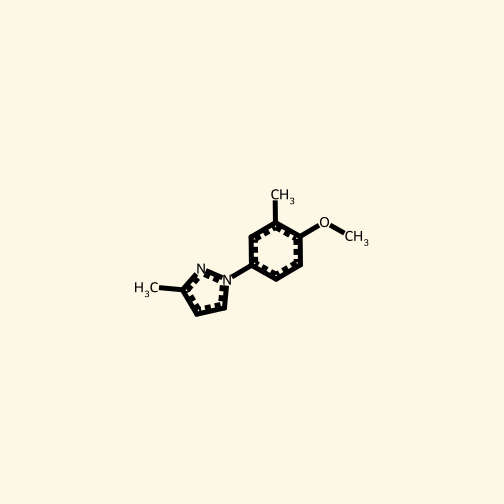 COc1ccc(-n2ccc(C)n2)cc1C